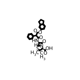 CC1(C)S[C@@H]2C(NC(=O)C(C(=O)Oc3ccc4c(c3)CCC4)c3ccccc3)C(=O)N2[C@H]1C(=O)O